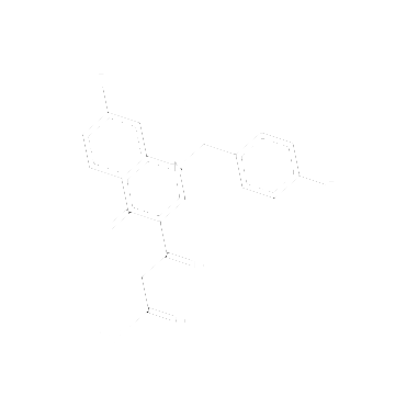 O=C(O)C(=O)CC(=O)c1cn(Cc2ccc(F)cc2)c2cc(F)ccc2c1=O